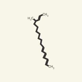 CC=CC=CC=CCCCCCCCC(C)C=CC